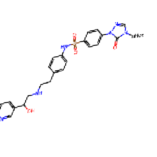 CCCCCCn1cnn(-c2ccc(S(=O)(=O)Nc3ccc(CCNCC(O)c4cccnc4)cc3)cc2)c1=O